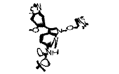 COc1cc2scnc2cc1-c1cn(COCC[Si](C)(C)C)c2nc(NC(=O)OC(C)(C)C)ccc12